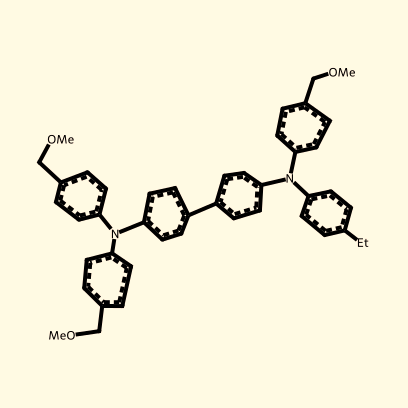 CCc1ccc(N(c2ccc(COC)cc2)c2ccc(-c3ccc(N(c4ccc(COC)cc4)c4ccc(COC)cc4)cc3)cc2)cc1